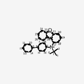 CC(C)(C)N(c1ccc(-c2ccccc2)cc1)c1cccc2oc3ccccc3c12